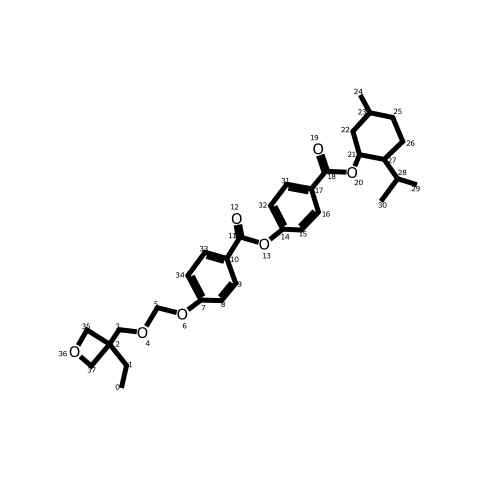 CCC1(COCOc2ccc(C(=O)Oc3ccc(C(=O)OC4CC(C)CCC4C(C)C)cc3)cc2)COC1